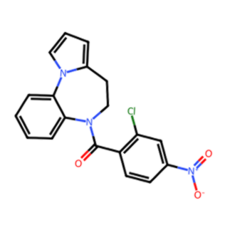 O=C(c1ccc([N+](=O)[O-])cc1Cl)N1CCc2cccn2-c2ccccc21